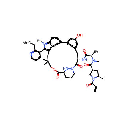 C=CC(=O)N1C[C@@H](C(=O)N(C)[C@@H](C(=O)N[C@H]2Cc3cc(O)cc(c3)-c3ccc4c(c3)c(c(-c3cccnc3COC)n4CC)CC(C)(C)COC(=O)[C@@H]3CCCN(N3)C2=O)C(C)C)C[C@H]1C